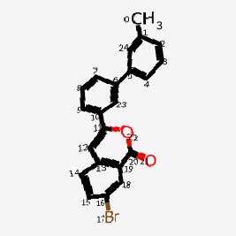 Cc1cccc(-c2cccc(-c3cc4ccc(Br)cc4c(=O)o3)c2)c1